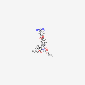 CCOC(=O)CN(C(=O)/C(C)=C/c1ccc(C(=O)Oc2ccc(C(=N)N)cc2)cc1)C(CC(C)C)C(=O)OCC